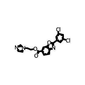 O=C(OCCn1ccnc1)c1ccc2nc(-c3cc(Cl)cc(Cl)c3)oc2c1